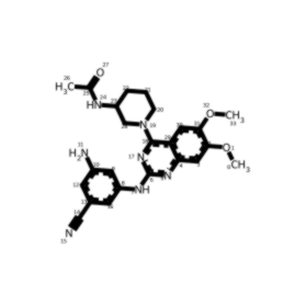 COc1cc2nc(Nc3cc(N)cc(C#N)c3)nc(N3CCCC(NC(C)=O)C3)c2cc1OC